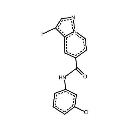 O=C(Nc1cccc(Cl)c1)c1ccn2ncc(I)c2c1